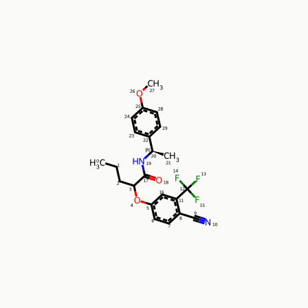 CCCC(Oc1ccc(C#N)c(C(F)(F)F)c1)C(=O)N[C@H](C)c1ccc(OC)cc1